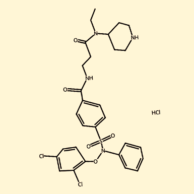 CCN(C(=O)CCNC(=O)c1ccc(S(=O)(=O)N(Oc2ccc(Cl)cc2Cl)c2ccccc2)cc1)C1CCNCC1.Cl